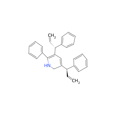 C=C[C@@H](C1=CC([C@H](C=C)c2ccccc2)=C(c2ccccc2)NC1)c1ccccc1